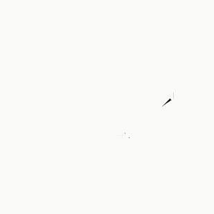 F[C@H]1CN[C@@H]1Cc1ccccc1